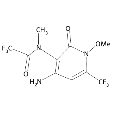 COn1c(C(F)(F)F)cc(N)c(N(C)C(=O)C(F)(F)F)c1=O